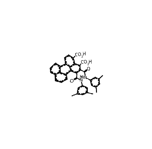 Cc1cc(C)cc(NC(=O)c2c(C(=O)O)c3c(C(=O)O)ccc4c5cccc6cccc(c(c2C(=O)Nc2cc(C)cc(C)c2)c34)c65)c1